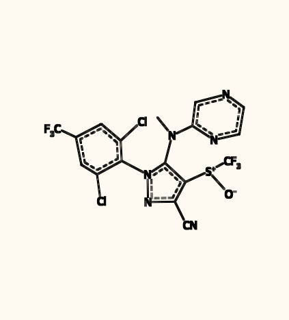 CN(c1cnccn1)c1c([S+]([O-])C(F)(F)F)c(C#N)nn1-c1c(Cl)cc(C(F)(F)F)cc1Cl